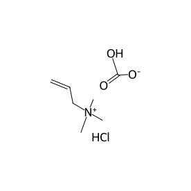 C=CC[N+](C)(C)C.Cl.O=C([O-])O